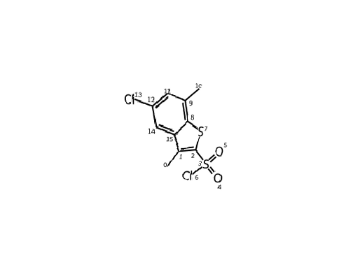 Cc1c(S(=O)(=O)Cl)sc2c(C)cc(Cl)cc12